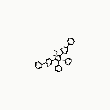 CC[Si]1(C)C(c2ccc(-c3ccccc3)nc2)=C(c2ccccc2)C(c2ccccc2)=C1c1ccc(-c2ccccc2)nc1